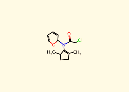 CC1=C(N(C(=O)CCl)C2C=CC=CO2)C(C)CC1